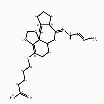 NN=CNN=C1CC2CCC(OCCCCC(=O)O)=C3OCOC32C=C2CCCC21